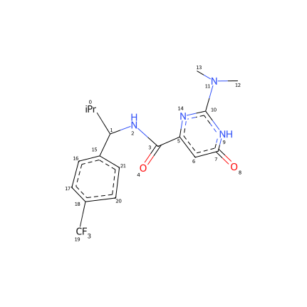 CC(C)C(NC(=O)c1cc(=O)[nH]c(N(C)C)n1)c1ccc(C(F)(F)F)cc1